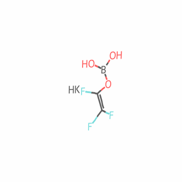 OB(O)OC(F)=C(F)F.[KH]